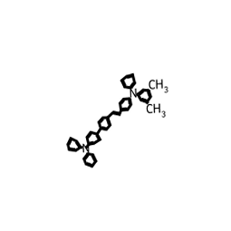 Cc1cc(C)cc(N(c2ccccc2)c2ccc(/C=C/c3ccc(-c4ccc(N(c5ccccc5)c5ccccc5)cc4)cc3)cc2)c1